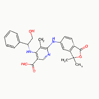 Cc1c(Nc2ccc3c(c2)C(C)(C)OC3=O)ncc(C(=O)O)c1NC(CO)c1ccccc1